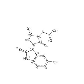 O=C(O)CN1C(=O)/C(=C2/C(=O)Nc3ccc(Cl)cc32)SC1=S